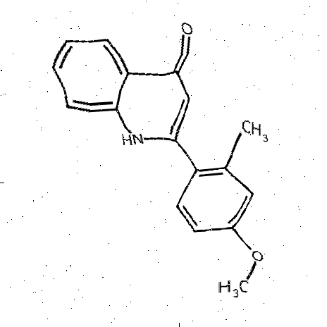 COc1ccc(-c2cc(=O)c3ccccc3[nH]2)c(C)c1